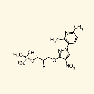 Cc1ccc(-n2cc([N+](=O)[O-])c(OCC(F)CO[Si](C)(C)C(C)(C)C)n2)c(C)n1